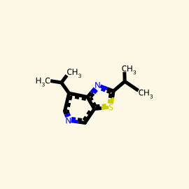 CC(C)c1nc2c(C(C)C)cncc2s1